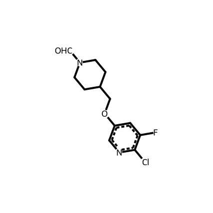 O=CN1CCC(COc2cnc(Cl)c(F)c2)CC1